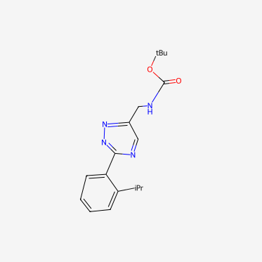 CC(C)c1ccccc1-c1ncc(CNC(=O)OC(C)(C)C)nn1